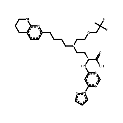 O=C(O)[C@H](CCN(CCCCc1ccc2c(n1)NCCC2)CCOCC(F)(F)F)Nc1cc(-n2cccn2)ncn1